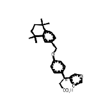 CC1(C)CCC(C)(C)c2cc(COc3ccc([C@H](CC(=O)O)c4cnco4)cc3)ccc21